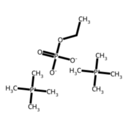 CCOP(=O)([O-])[O-].C[P+](C)(C)C.C[P+](C)(C)C